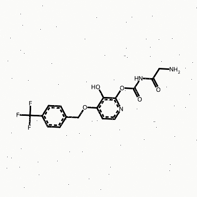 NCC(=O)NC(=O)Oc1nccc(OCc2ccc(C(F)(F)F)cc2)c1O